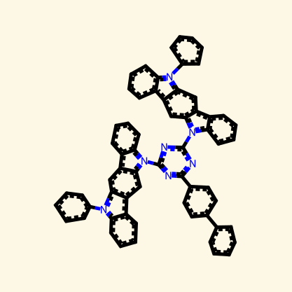 c1ccc(-c2ccc(-c3nc(-n4c5ccccc5c5cc6c(cc54)c4ccccc4n6-c4ccccc4)nc(-n4c5ccccc5c5cc6c(cc54)c4ccccc4n6-c4ccccc4)n3)cc2)cc1